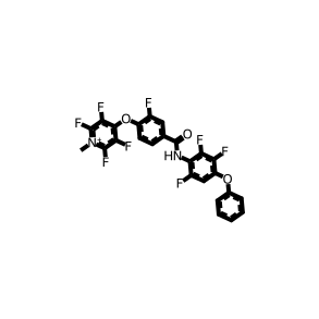 C[n+]1c(F)c(F)c(Oc2ccc(C(=O)Nc3c(F)cc(Oc4ccccc4)c(F)c3F)cc2F)c(F)c1F